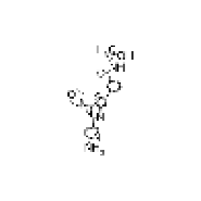 C[C@H](O)CNC(=O)c1cccc(-c2cc3nc(-c4ccc(N)nc4)nc(N4CCOCC4)c3s2)c1